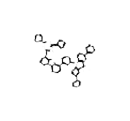 CC1(C)c2cc(-c3ccccc3)ccc2N(c2cccc(-c3cccc4c3oc3c(-c5nc(-c6ccccc6)nc(C6C=CC=CC6)n5)cccc34)c2)c2ccc(-c3ccccc3)cc21